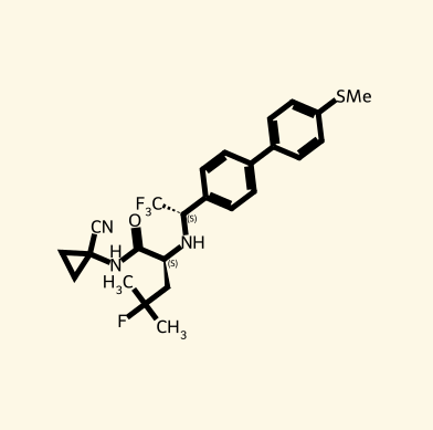 CSc1ccc(-c2ccc([C@H](N[C@@H](CC(C)(C)F)C(=O)NC3(C#N)CC3)C(F)(F)F)cc2)cc1